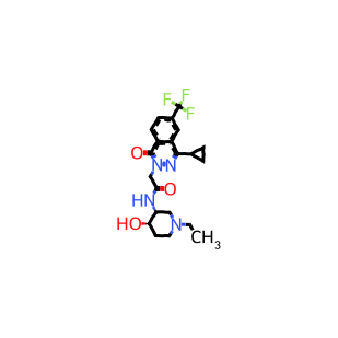 CCN1CC[C@@H](O)[C@@H](NC(=O)Cn2nc(C3CC3)c3cc(C(F)(F)F)ccc3c2=O)C1